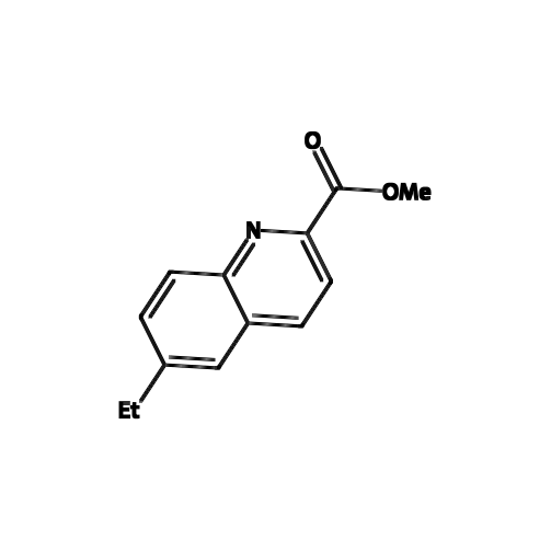 CCc1ccc2nc(C(=O)OC)ccc2c1